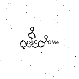 COC(=O)c1ccc(CN(Cc2ccccc2F)S(=O)(=O)c2ccc(Cl)cc2)cc1